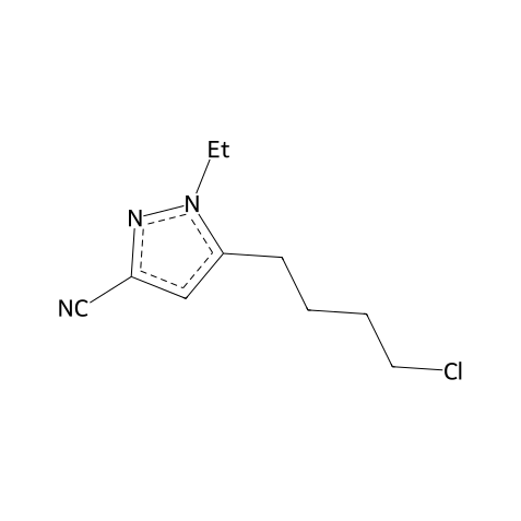 CCn1nc(C#N)cc1CCCCCl